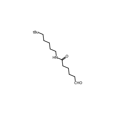 CC(C)(C)CCCCCNC(=O)CCCCC=O